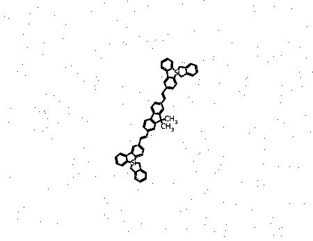 CC1(C)c2cc(/C=C/c3ccc4c(c3)-c3ccccc3[Si]43Cc4ccccc4C3)ccc2-c2ccc(/C=C/c3ccc4c(c3)-c3ccccc3[Si]43Cc4ccccc4C3)cc21